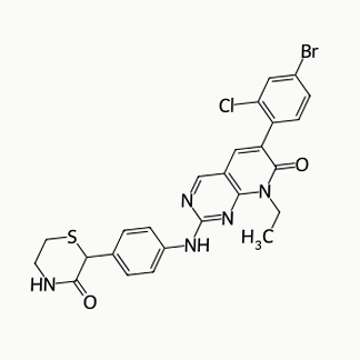 CCn1c(=O)c(-c2ccc(Br)cc2Cl)cc2cnc(Nc3ccc(C4SCCNC4=O)cc3)nc21